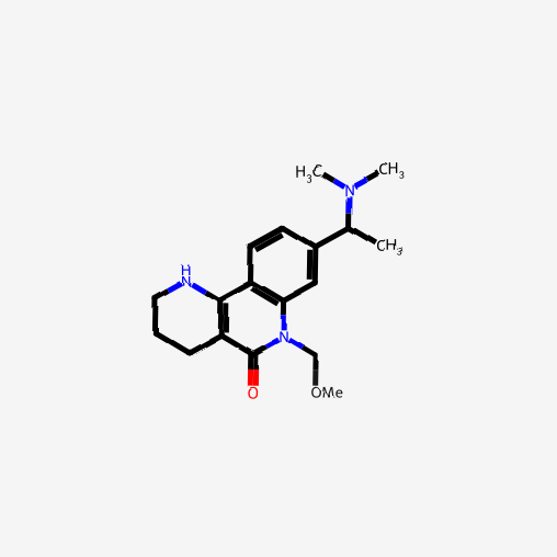 COCn1c(=O)c2c(c3ccc(C(C)N(C)C)cc31)NCCC2